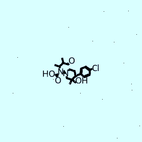 CC(C=O)C(C)N(C(=O)O)N1CC[C@](O)(c2ccc(Cl)cc2)C(C)(C)C1